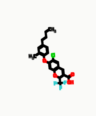 CCCCc1ccc(Oc2cc3c(cc2Cl)C=C(C(=O)O)C(C(F)(F)F)O3)c(C)c1